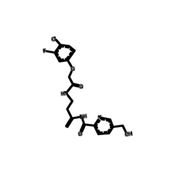 C=C(CCNC(=O)COc1ccc(Cl)c(F)c1)NC(=O)c1ccc(CO)cn1